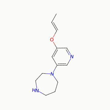 CC=COc1cncc(N2CCCNCC2)c1